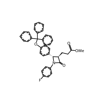 COC(=O)CC[C@H]1C(=O)N(c2ccc(F)cc2)[C@@H]1c1ccc(OC(c2ccccc2)(c2ccccc2)c2ccccc2)cc1